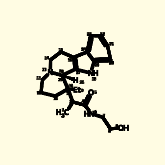 CC[C@@]1(C(C)C(=O)NCCO)CCCN2CCc3c([nH]c4ccccc34)[C@@H]21